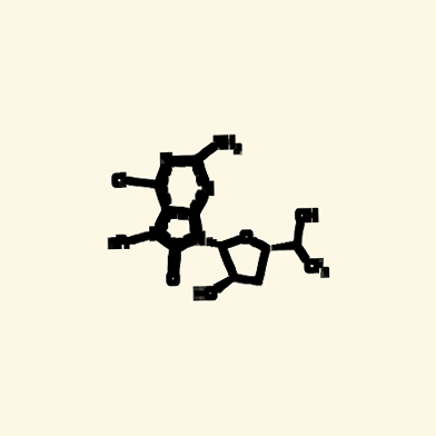 CCCn1c(=O)n([C@@H]2O[C@H](C(O)C(F)(F)F)C[C@H]2O)c2nc(N)nc(Cl)c21